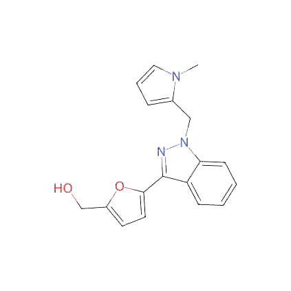 Cn1cccc1Cn1nc(-c2ccc(CO)o2)c2ccccc21